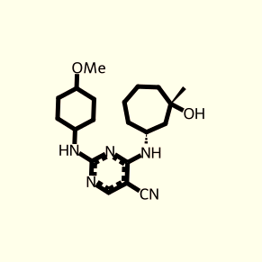 COC1CCC(Nc2ncc(C#N)c(N[C@@H]3CCCC[C@](C)(O)C3)n2)CC1